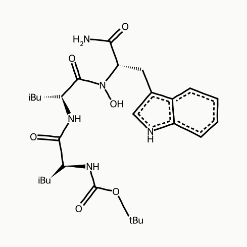 CC[C@H](C)[C@H](NC(=O)OC(C)(C)C)C(=O)N[C@H](C(=O)N(O)[C@@H](Cc1c[nH]c2ccccc12)C(N)=O)[C@@H](C)CC